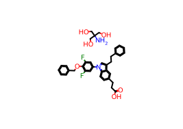 NC(CO)(CO)CO.O=C(O)CCc1ccc2c(c1)c(CCc1ccccc1)cn2-c1cc(F)c(OCc2ccccc2)c(F)c1